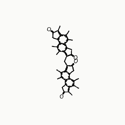 CC1=c2c(C)c(C)c3c4c(c(C)c(C)c3c2CC1=O)=C(CC1=c2c(C)c(C)c3c5c(c(C)c(C)c3c2CC1=O)=C(C)C(=O)C5)C(=O)C4